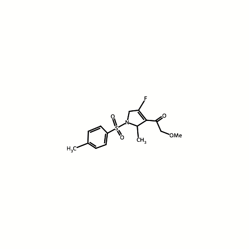 COCC(=O)C1=C(F)CN(S(=O)(=O)c2ccc(C)cc2)C1C